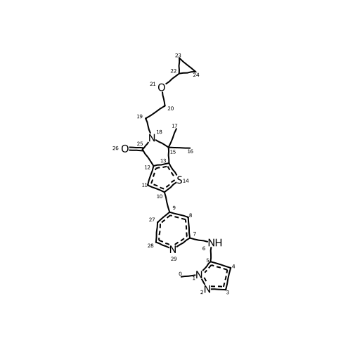 Cn1nccc1Nc1cc(-c2cc3c(s2)C(C)(C)N(CCOC2CC2)C3=O)ccn1